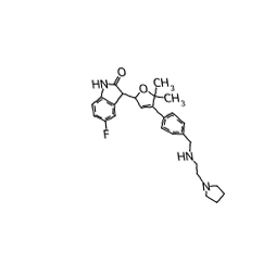 CC1(C)OC(C2C(=O)Nc3ccc(F)cc32)C=C1c1ccc(CNCCN2CCCC2)cc1